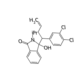 C=CCC(c1ccc(Cl)c(Cl)c1)C1(O)c2ccccc2C(=O)N1C(C)C